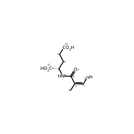 CCCC=C(C)C(=O)N[C@@H](CCC(=O)O)C(=O)O